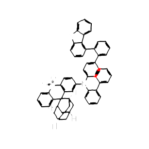 O=S1(=O)c2ccccc2C2(c3cc(N(c4ccc(-c5ccccc5-c5cccc6sc7ccccc7c56)cc4)c4ccccc4-c4ccccc4)ccc31)[C@H]1C[C@H]3C[C@H](C[C@H]2C3)C1